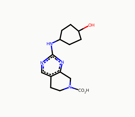 O=C(O)N1CCc2cnc(NC3CCC(O)CC3)nc2C1